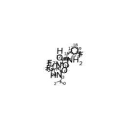 CC(C)CNC(=O)[C@H]1N(C(=O)[C@@H](O)[C@@H](N)Cc2cccc(F)c2)CC(F)(F)C1(C)C